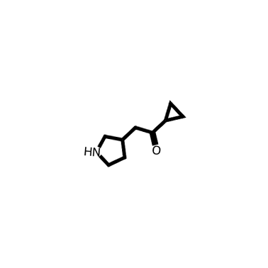 O=C(CC1CCNC1)C1CC1